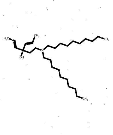 CC=CC(O)(C=CC)CCN(CCCCCCCCCC)CCCCCCCCCC